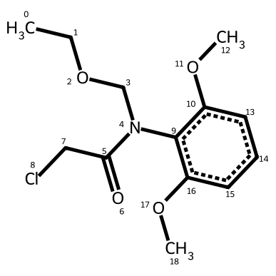 CCOCN(C(=O)CCl)c1c(OC)cccc1OC